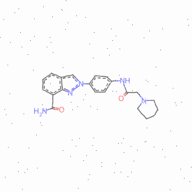 NC(=O)c1cccc2cn(-c3ccc(NC(=O)CN4CCCCC4)cc3)nc12